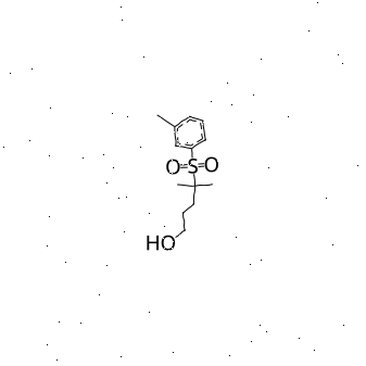 Cc1cccc(S(=O)(=O)C(C)(C)CCCO)c1